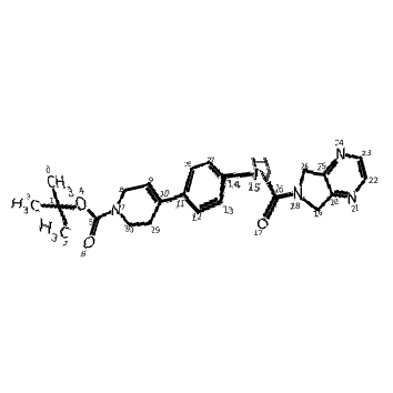 CC(C)(C)OC(=O)N1CC=C(c2ccc(NC(=O)N3Cc4nccnc4C3)cc2)CC1